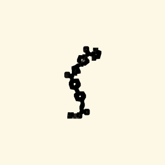 COC(=O)/C=C/c1ccc(-c2ccc(C(=O)N3CC(N4CCN(C(=O)c5nccs5)CC4)C3)cc2)cc1